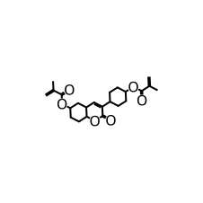 C=C(C)C(=O)OC1CCC(C2=CC3CC(OC(=O)C(=C)C)CCC3OC2=O)CC1